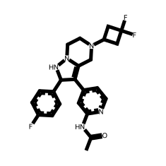 CC(=O)Nc1cc(C2=C3CN(C4CC(F)(F)C4)CCN3NC2c2ccc(F)cc2)ccn1